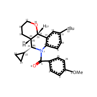 COc1ccc(C(=O)N2c3ccc(C(C)(C)C)cc3[C@H]3OCCC[C@H]3[C@H]2C2CC2)cc1